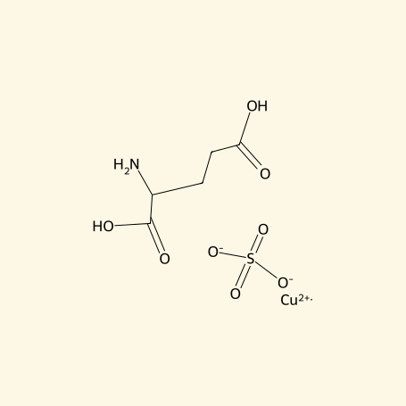 NC(CCC(=O)O)C(=O)O.O=S(=O)([O-])[O-].[Cu+2]